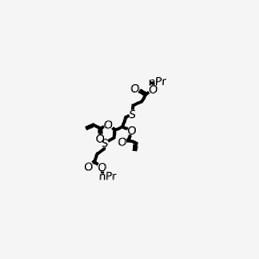 C=CC(=O)OC(CSCCC(=O)OCCC)C(CSCCC(=O)OCCC)OC(=O)C=C